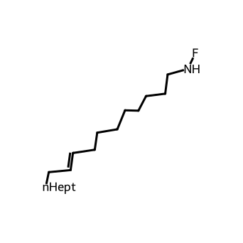 CCCCCCCCC=CCCCCCCCCNF